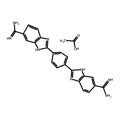 CC(=O)O.N=C(N)c1ccc2nc(-c3ccc(-c4nc5ccc(C(=N)N)cc5[nH]4)cc3)[nH]c2c1